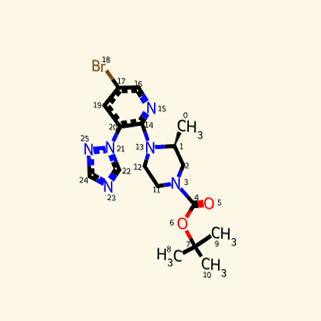 C[C@H]1CN(C(=O)OC(C)(C)C)CCN1c1ncc(Br)cc1-n1cncn1